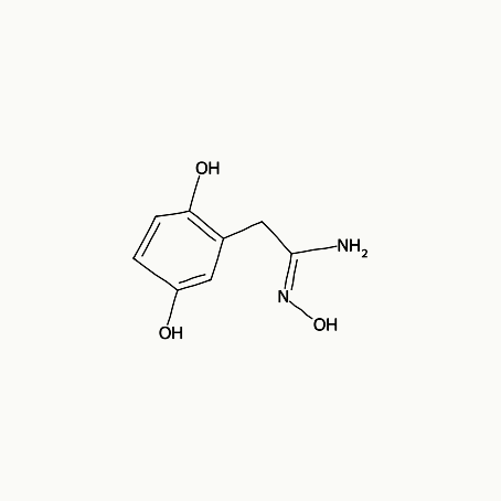 NC(Cc1cc(O)ccc1O)=NO